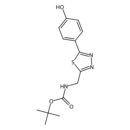 CC(C)(C)OC(=O)NCc1nnc(-c2ccc(O)cc2)s1